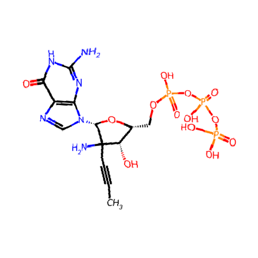 CC#CC1(N)[C@@H](O)[C@@H](COP(=O)(O)OP(=O)(O)OP(=O)(O)O)O[C@H]1n1cnc2c(=O)[nH]c(N)nc21